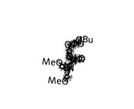 COc1ccc(CN(Cc2ccc(OC)cc2)c2ncc(-c3nc(N4CCOCC4)nc4c3CCN4c3ccc(C(=O)N4CCN(C(=O)OC(C)(C)C)CC4)cc3)cn2)cc1